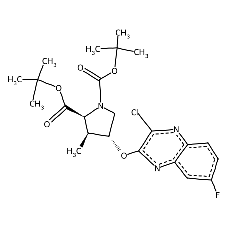 C[C@@H]1[C@@H](Oc2nc3cc(F)ccc3nc2Cl)CN(C(=O)OC(C)(C)C)[C@@H]1C(=O)OC(C)(C)C